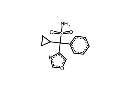 NS(=O)(=O)C(c1ccccc1)(c1cocn1)C1CC1